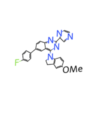 COc1ccc2c(c1)CCN2c1nc(-c2cnccn2)nc2ccc(-c3ccc(F)cc3)cc12